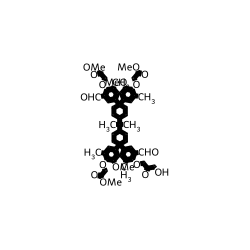 COC(=O)COc1c(C)cc(C2(c3cc(C)c(OCC(=O)OC)c(OC)c3)CCC(C(C)(C)C3CCC(c4cc(C)c(OCC(=O)CO)c(C=O)c4)(c4cc(C)c(OCC(=O)OC)c(OC)c4)CC3)CC2)cc1C=O